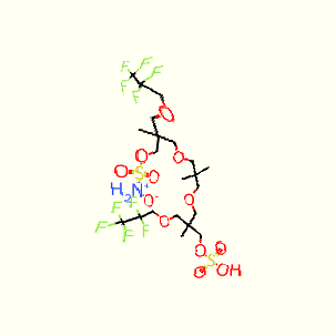 CC(C)(COCC(C)(COCC(F)(F)C(F)(F)F)COS(=O)(=O)O)COCC(C)(COCC(F)(F)C(F)(F)F)COS(=O)(=O)[NH2+][O-]